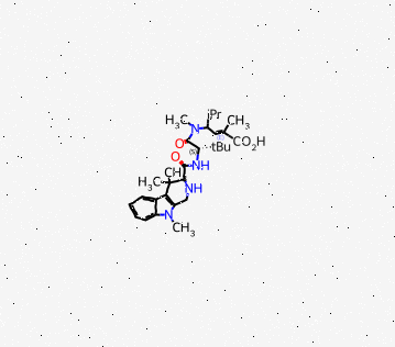 C/C(=C\C(C(C)C)N(C)C(=O)[C@@H](NC(=O)C1NCc2c(c3ccccc3n2C)C1(C)C)C(C)(C)C)C(=O)O